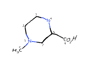 CN1CC[N]C(C(=O)O)C1